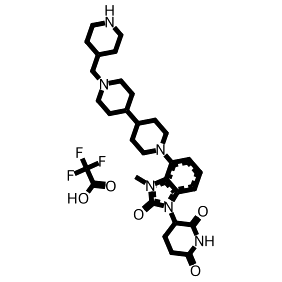 Cn1c(=O)n(C2CCC(=O)NC2=O)c2cccc(N3CCC(C4CCN(CC5CCNCC5)CC4)CC3)c21.O=C(O)C(F)(F)F